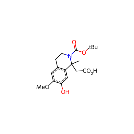 COc1cc2c(cc1O)C(C)(CC(=O)O)N(C(=O)OC(C)(C)C)CC2